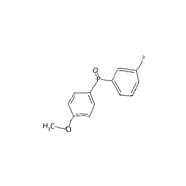 COc1ccc([P](=O)c2cccc(F)c2)cc1